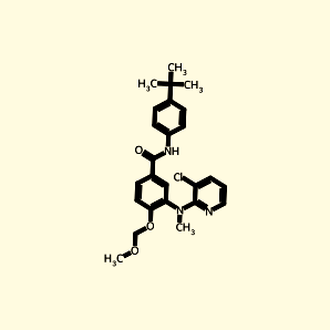 COCOc1ccc(C(=O)Nc2ccc(C(C)(C)C)cc2)cc1N(C)c1ncccc1Cl